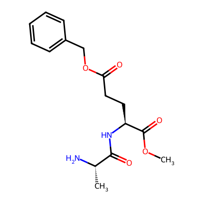 COC(=O)[C@H](CCC(=O)OCc1ccccc1)NC(=O)[C@H](C)N